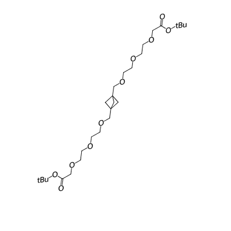 CC(C)(C)OC(=O)COCCOCCOCC12CC(COCCOCCOCC(=O)OC(C)(C)C)(C1)C2